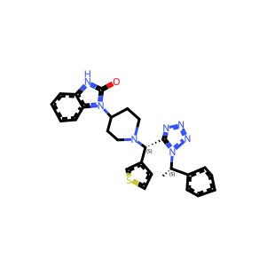 C[C@@H](c1ccccc1)n1nnnc1[C@H](c1ccsc1)N1CCC(n2c(=O)[nH]c3ccccc32)CC1